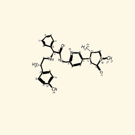 C[C@H](CN[C@H](C(=O)Nc1ccc(N2CC(=O)N(C)C[C@H]2C)cn1)c1ccccc1)c1ccc(C#N)cc1